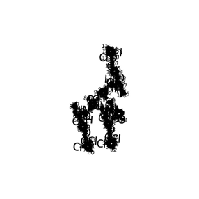 COc1ccc(CN(C(=O)C2CNCCC2NC(=O)c2ccc(OCCOc3c(Cl)cc(C)cc3Cl)cc2)C2CC2)cc1OC.COc1ccc(CNC(=O)C2CN(C3CC3)CCC2NC(=O)c2ccc(OCCOc3c(Cl)cc(C)cc3Cl)cc2)cc1OC.Cc1cc(C)cc(CNC(=O)C2CN(C3CC3)CCC2NC(=O)c2ccc(OCCOc3c(Cl)cc(C)cc3Cl)cc2)c1